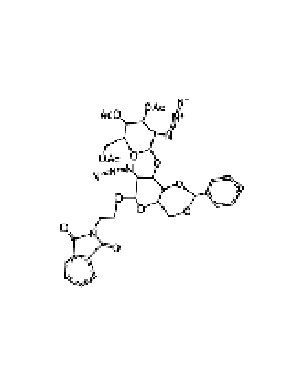 CC(=O)OCC1OC(OC2C(N=[N+]=[N-])C(OCCN3C(=O)c4ccccc4C3=O)OC3COC(c4ccccc4)OC32)C(N=[N+]=[N-])C(OC(C)=O)C1OC(C)=O